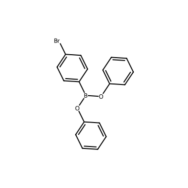 Brc1ccc(B(Oc2ccccc2)Oc2ccccc2)cc1